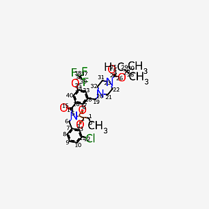 CCS(=O)(=O)N(Cc1cccc(Cl)c1)C(=O)c1cc(CN2CCN(C(=O)OC(C)(C)C)CC2)cc(OC(F)(F)F)c1